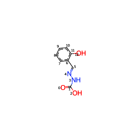 O=C(O)NN=Cc1ccccc1O